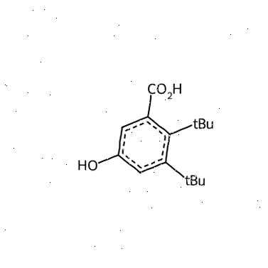 CC(C)(C)c1cc(O)cc(C(=O)O)c1C(C)(C)C